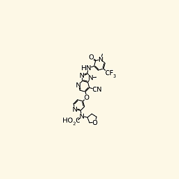 Cn1cc(C(F)(F)F)cc(Nc2nc3ncc(Oc4ccnc(N(C(=O)O)C5CCOC5)c4)c(C#N)c3n2C)c1=O